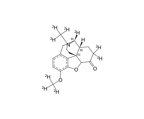 [2H]C([2H])([2H])Oc1ccc2c3c1OC1C(=O)C([2H])([2H])C[C@@H]4[C@@]31CCN(C([2H])([2H])[2H])[C@]4([2H])C2